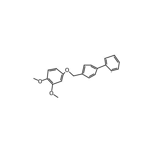 COc1ccc(OCc2ccc(-c3[c]cccc3)cc2)cc1OC